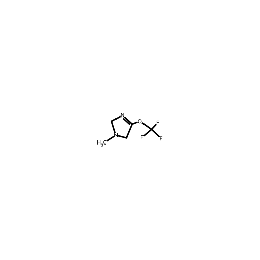 CN1[C]C(OC(F)(F)F)=NC1